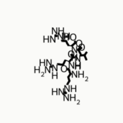 CC(C)[C@H](NC(=O)[C@H](CCCNC(=N)N)NC(=O)[C@@H](N)CCCNC(=N)N)C(=O)N[C@@H](CCCNC(=N)N)C(=O)O